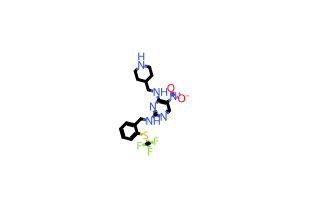 O=[N+]([O-])c1cnc(NCc2ccccc2SC(F)(F)F)nc1NCC1CCNCC1